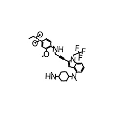 CCS(=O)(=O)c1ccc(NCC#Cc2cc3c(N(C)C4CCC(NC)CC4)cccc3n2CC(F)(F)F)c(OC)c1